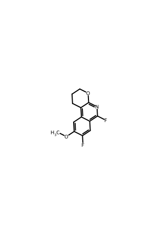 COc1cc2c3c(nc(F)c2cc1F)OCCC3